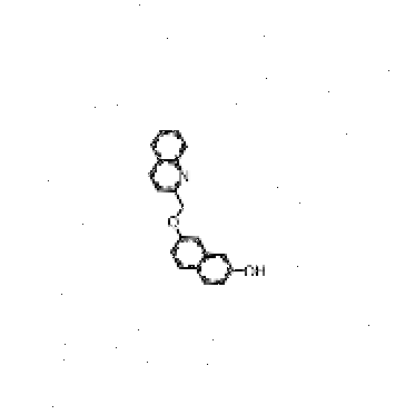 Oc1ccc2ccc(OCc3ccc4ccccc4n3)cc2c1